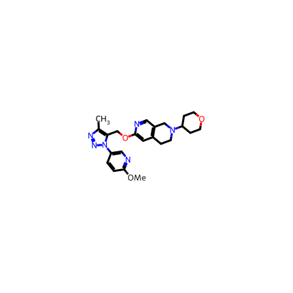 COc1ccc(-n2nnc(C)c2COc2cc3c(cn2)CN(C2CCOCC2)CC3)cn1